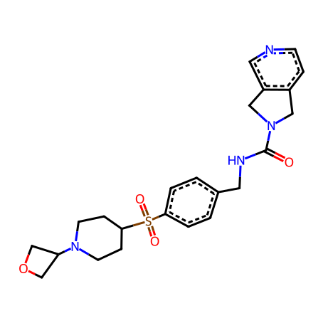 O=C(NCc1ccc(S(=O)(=O)C2CCN(C3COC3)CC2)cc1)N1Cc2ccncc2C1